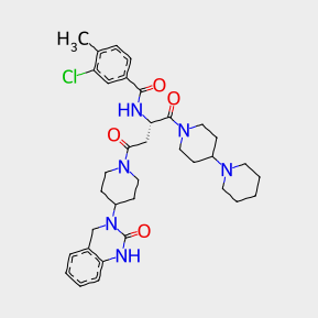 Cc1ccc(C(=O)N[C@@H](CC(=O)N2CCC(N3Cc4ccccc4NC3=O)CC2)C(=O)N2CCC(N3CCCCC3)CC2)cc1Cl